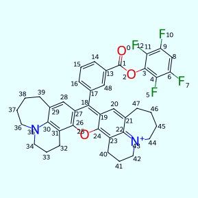 O=C(Oc1c(F)c(F)cc(F)c1F)c1cccc(C2=c3cc4c5c(c3Oc3c2cc2c6c3CCCN6CCCC2)CCC[N+]=5CCCC4)c1